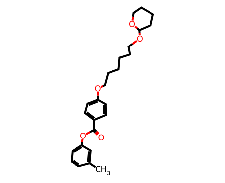 Cc1cccc(OC(=O)c2ccc(OCCCCCCOC3CCCCO3)cc2)c1